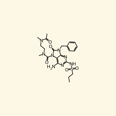 CCCS(=O)(=O)Nc1nc(N)c2c(n1)n(Cc1ccccc1)c(=O)n2C(=O)N(C)CCN(C)C(C)=O